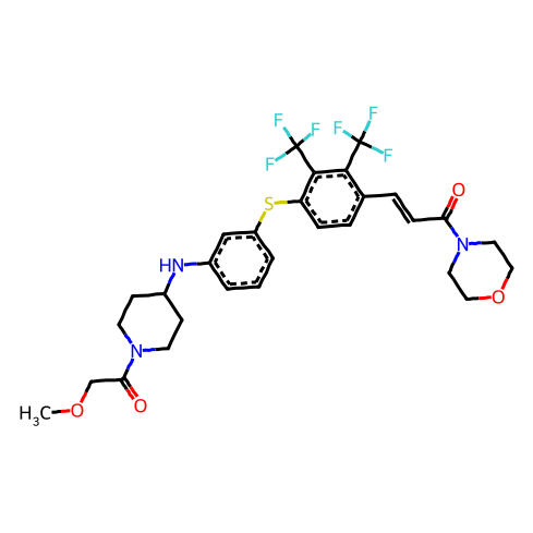 COCC(=O)N1CCC(Nc2cccc(Sc3ccc(C=CC(=O)N4CCOCC4)c(C(F)(F)F)c3C(F)(F)F)c2)CC1